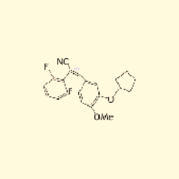 COc1ccc(/C=C(/C#N)c2c(F)cccc2F)cc1OC1CCCC1